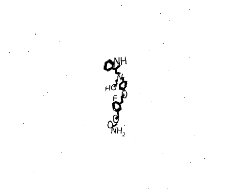 NC(=O)COCc1ccc(F)c(CCOc2ccc(CN(CCO)CCc3c[nH]c4ccccc34)cc2)c1